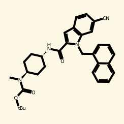 CN(C(=O)OC(C)(C)C)[C@H]1CC[C@H](NC(=O)c2cc3ccc(C#N)cc3n2Cc2cccc3ccccc23)CC1